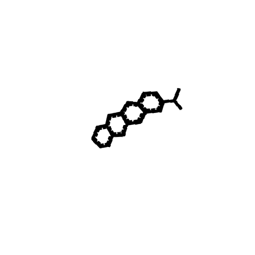 CC(C)c1ccc2cc3cc4ccccc4cc3cc2c1